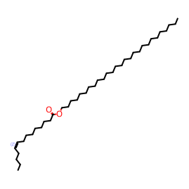 CCCC/C=C\CCCCCCCC(=O)OCCCCCCCCCCCCCCCCCCCCCCCCCCC